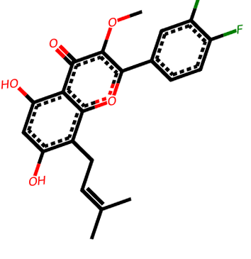 COc1c(-c2ccc(F)c(F)c2)oc2c(CC=C(C)C)c(O)cc(O)c2c1=O